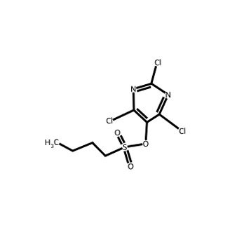 CCCCS(=O)(=O)Oc1c(Cl)nc(Cl)nc1Cl